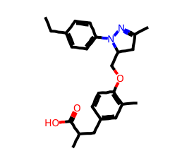 CCc1ccc(N2N=C(C)CC2COc2ccc(CC(C)C(=O)O)cc2C)cc1